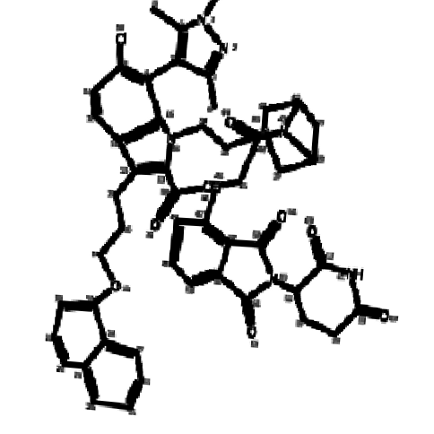 Cc1nn(C)c(C)c1-c1c(Cl)ccc2c(CCCOc3cccc4ccccc34)c(C(=O)O)n(CCN3CC4CC(C3)N4C(=O)COc3cccc4c3C(=O)N(C3CCC(=O)NC3=O)C4=O)c12